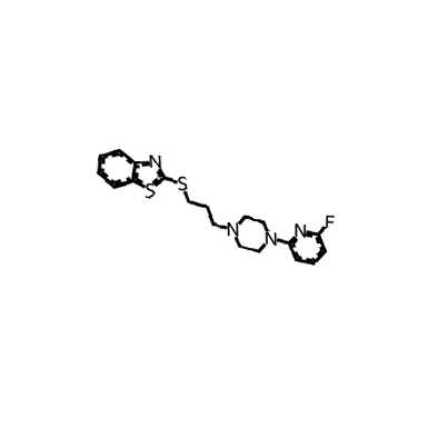 Fc1cccc(N2CCN(CCCSc3nc4ccccc4s3)CC2)n1